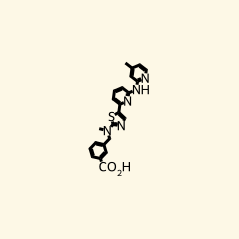 Cc1ccnc(Nc2cccc(-c3cnc(N(C)Cc4cccc(C(=O)O)c4)s3)n2)c1